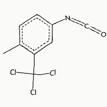 Cc1ccc(N=C=O)cc1C(Cl)(Cl)Cl